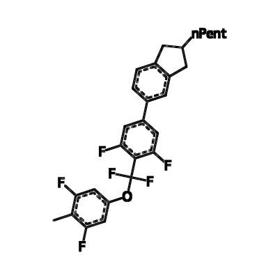 CCCCCC1Cc2ccc(-c3cc(F)c(C(F)(F)Oc4cc(F)c(C)c(F)c4)c(F)c3)cc2C1